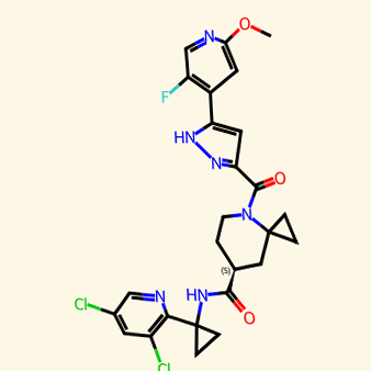 COc1cc(-c2cc(C(=O)N3CC[C@H](C(=O)NC4(c5ncc(Cl)cc5Cl)CC4)CC34CC4)n[nH]2)c(F)cn1